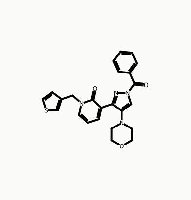 O=C(c1ccccc1)n1cc(N2CCOCC2)c(-c2cccn(Cc3ccsc3)c2=O)n1